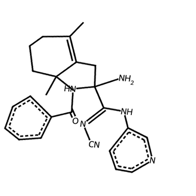 CC1=C(CC(N)(NC(=O)c2ccccc2)C(=NC#N)Nc2cccnc2)C(C)(C)CCC1